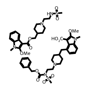 COc1c(C(=O)O)c2c(CC3CCN(CCN(C(=O)OCc4ccccc4)S(C)(=O)=O)CC3)cccc2n1C.COc1c(C(=O)OCC2CCN(CCNS(C)(=O)=O)CC2)c2ccccc2n1C